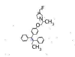 CC/C(=C(\c1ccccc1)c1ccc(OCC(C)N2CC[C@@H](CF)C2)cc1)c1ccccc1